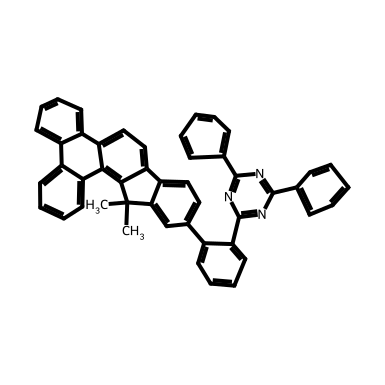 CC1(C)c2cc(-c3ccccc3-c3nc(-c4ccccc4)nc(-c4ccccc4)n3)ccc2-c2ccc3c4ccccc4c4ccccc4c3c21